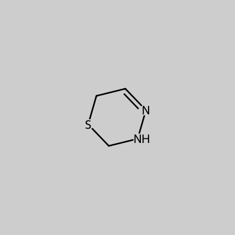 C1=NNCSC1